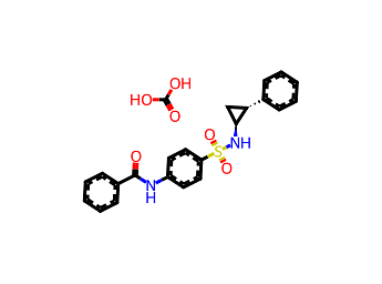 O=C(Nc1ccc(S(=O)(=O)N[C@H]2C[C@@H]2c2ccccc2)cc1)c1ccccc1.O=C(O)O